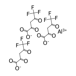 O=C([O-])C(=O)CC(=O)C(F)(F)F.O=C([O-])C(=O)CC(=O)C(F)(F)F.O=C([O-])C(=O)CC(=O)C(F)(F)F.[Al+3]